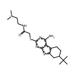 CN(C)CCNC(=O)CSc1nc(N)c2c3c(sc2n1)CC(C(C)(C)C)CC3